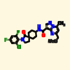 COCc1cc(C)n2ncc(C(=O)NC3CCC4(CC3)CCN(c3c(F)cc(F)cc3Cl)C4=O)c2n1